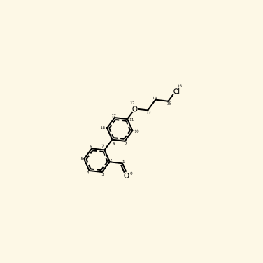 O=Cc1ccccc1-c1ccc(OCCCCl)cc1